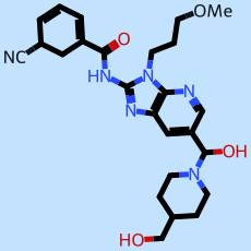 COCCCn1c(NC(=O)C2=CC=CC(C#N)C2)nc2cc(C(O)N3CCC(CO)CC3)cnc21